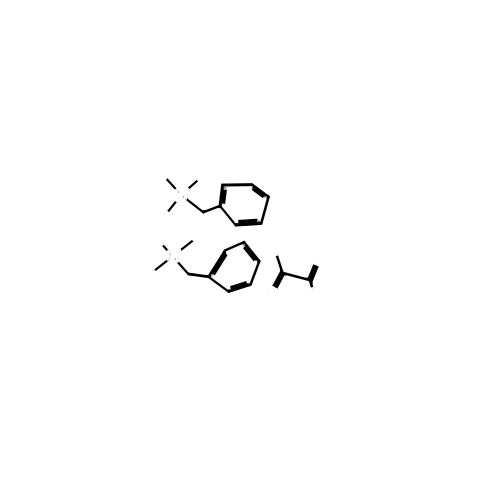 C[N+](C)(C)Cc1ccccc1.C[N+](C)(C)Cc1ccccc1.O=C([O-])C(=O)[O-]